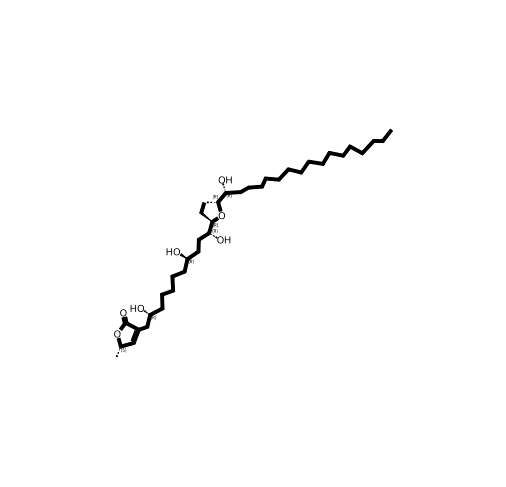 CCCCCCCCCCCCCCCC[C@@H](O)[C@H]1CC[C@H]([C@H](O)CC[C@H](O)CCCCC[C@@H](O)CC2=C[C@H](C)OC2=O)O1